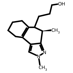 C[C@H]1c2nn(C)cc2C2=C(CCCC2)C1CCCO